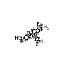 CC(F)(c1ccc2c(c1)CCC1N(C(=O)[C@]3(F)CC[C@@H](C(=O)O)CC3)CCC21Cc1ccc(Cl)c(Cl)c1)C(F)(F)F